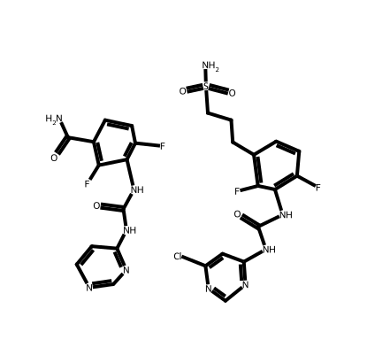 NC(=O)c1ccc(F)c(NC(=O)Nc2ccncn2)c1F.NS(=O)(=O)CCCc1ccc(F)c(NC(=O)Nc2cc(Cl)ncn2)c1F